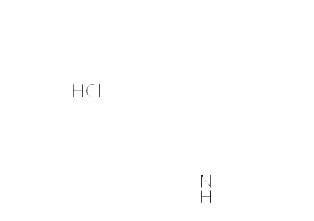 CC1NCc2ccccc21.Cl